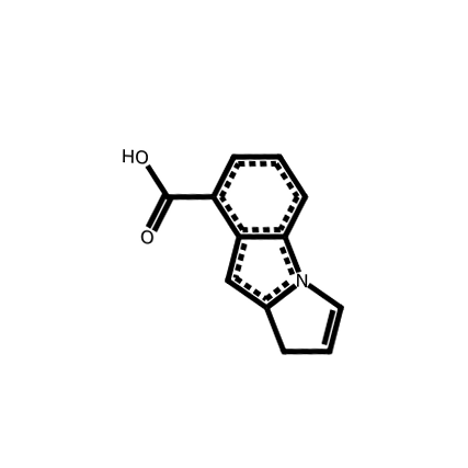 O=C(O)c1cccc2c1cc1n2C=CC1